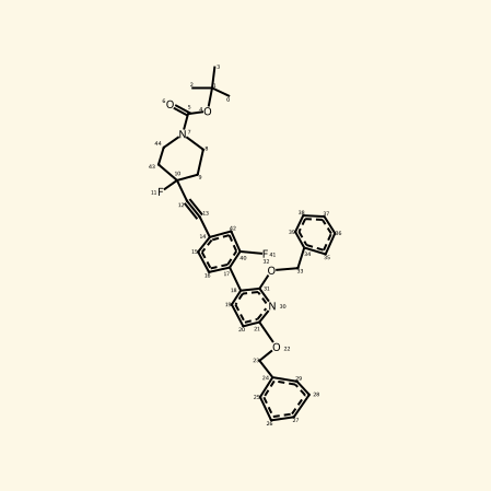 CC(C)(C)OC(=O)N1CCC(F)(C#Cc2ccc(-c3ccc(OCc4ccccc4)nc3OCc3ccccc3)c(F)c2)CC1